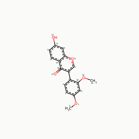 COc1ccc(-c2coc3cc(O)ccc3c2=O)c(OC)c1